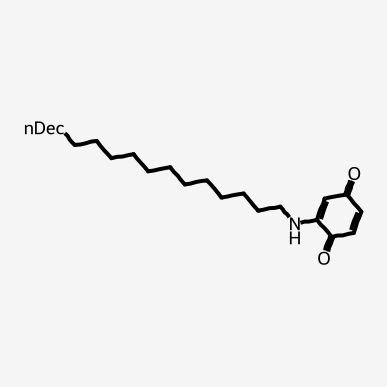 CCCCCCCCCCCCCCCCCCCCCCNC1=CC(=O)C=CC1=O